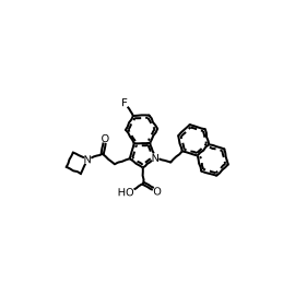 O=C(O)c1c(CC(=O)N2CCC2)c2cc(F)ccc2n1Cc1cccc2ccccc12